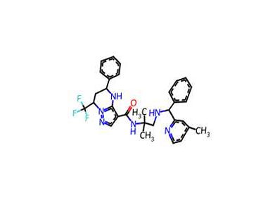 Cc1ccnc(C(NCC(C)(C)NC(=O)c2cnn3c2NC(c2ccccc2)CC3C(F)(F)F)c2ccccc2)c1